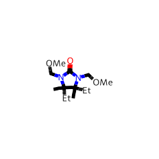 CCC1(C)N(COC)C(=O)N(COC)C1(C)CC